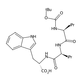 CC(C)[C@H](NC(=O)OC(C)(C)C)C(=O)N[C@H](C(=O)N[C@@H](Cc1c[nH]c2ccccc12)C(=O)O)C(C)C